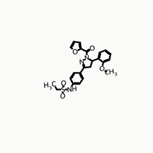 CCS(=O)(=O)Nc1ccc(C2=NN(C(=O)c3ccco3)C(c3ccccc3OC)C2)cc1